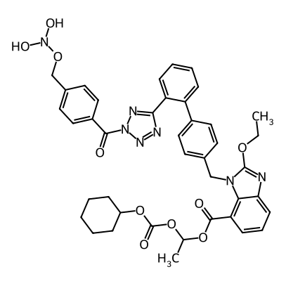 CCOc1nc2cccc(C(=O)OC(C)OC(=O)OC3CCCCC3)c2n1Cc1ccc(-c2ccccc2-c2nnn(C(=O)c3ccc(CON(O)O)cc3)n2)cc1